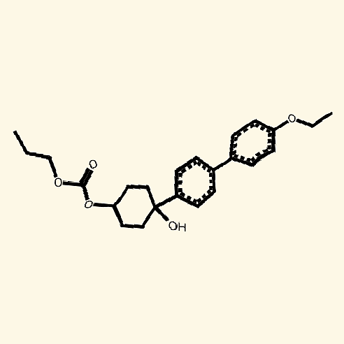 CCCOC(=O)OC1CCC(O)(c2ccc(-c3ccc(OCC)cc3)cc2)CC1